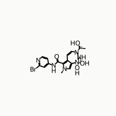 C[C@H](O)N1C=Cc2c(cn(C)c2C(=O)Nc2ccnc(Br)c2)[N+](O)(O)N1